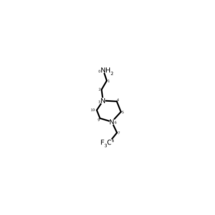 NCCN1CCN(CC(F)(F)F)CC1